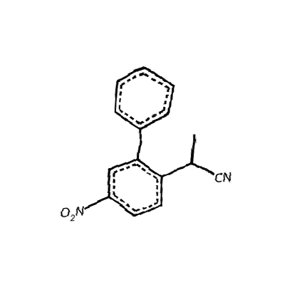 CC(C#N)c1ccc([N+](=O)[O-])cc1-c1ccccc1